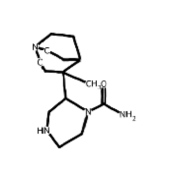 CC1(C2CNCCN2C(N)=O)CCN2CCC1CC2